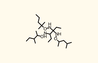 CCCC(C)(C)ONC(CC)(NOC(C)CC(C)C)[C](CC)NOC(C)C(C)CC